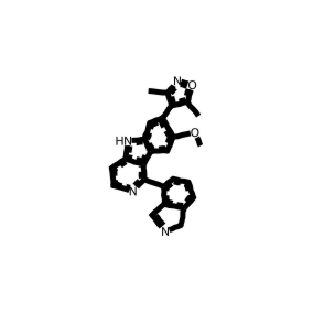 COc1cc2c(cc1-c1c(C)noc1C)[nH]c1ccnc(-c3cccc4c3C=NC4)c12